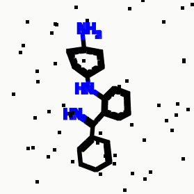 N=C(C1=CCCC=C1)c1ccccc1Nc1ccc(N)cc1